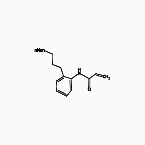 C=CC(=O)Nc1ccccc1CCCCCCCCCCCC